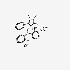 CC1=C(C)[C]([Ti+3])(C[SiH](c2ccccc2C)c2ccccc2C)C(c2ccccc2)=C1C.[Cl-].[Cl-].[Cl-]